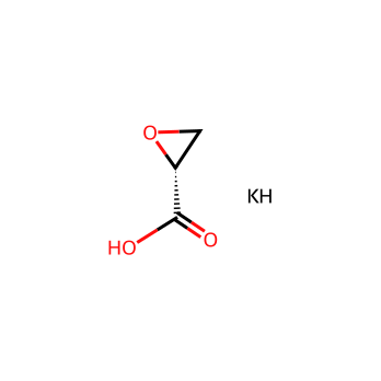 O=C(O)[C@H]1CO1.[KH]